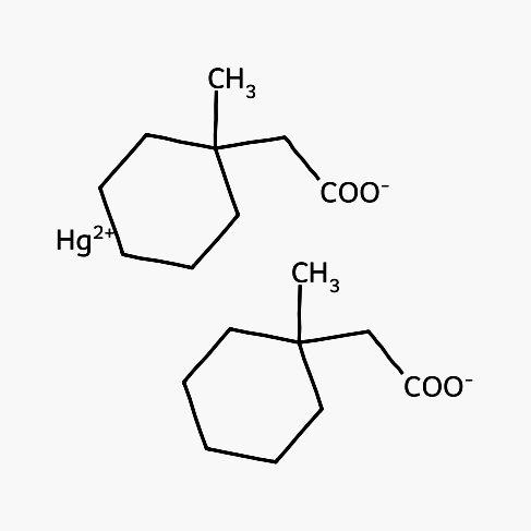 CC1(CC(=O)[O-])CCCCC1.CC1(CC(=O)[O-])CCCCC1.[Hg+2]